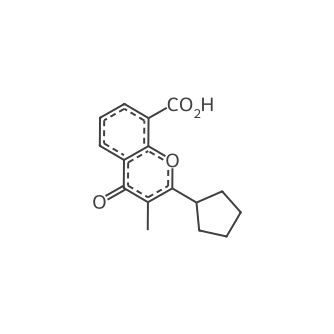 Cc1c(C2CCCC2)oc2c(C(=O)O)cccc2c1=O